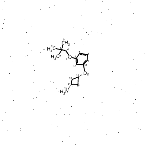 CC(C)(C)COc1cccc(O[C@H]2C[C@@H](N)C2)c1